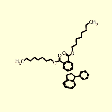 CCCCCCCCOC(=O)c1ccccc1C(=O)OCCCCCCCC.c1ccc(C2CCc3ccccc32)cc1